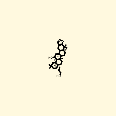 CC1(C)CC[C@]2(CCCO)CC[C@]3(C)[C@H](C(O)C=C4[C@@]5(C)Cc6cnoc6C(C)(C)[C@@H]5CC[C@]43C)[C@@H]2C1